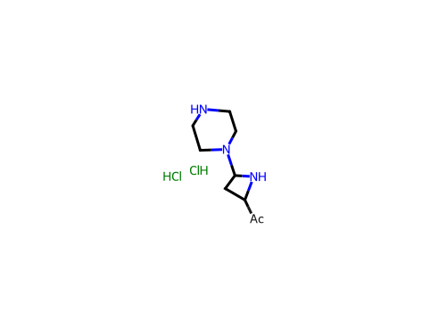 CC(=O)C1CC(N2CCNCC2)N1.Cl.Cl